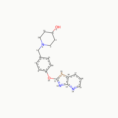 OC1CCN(Cc2ccc(Oc3nc4ncccc4s3)cc2)CC1